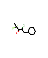 CC(F)(F)C(=O)C(Cl)CC1CCCCC1